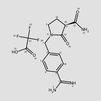 N=C(N)c1ccc(CN2CC[C@@H](C(N)=O)C2=O)cc1.O=C(O)C(F)(F)F